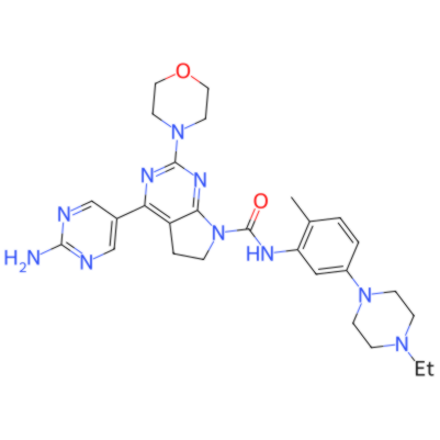 CCN1CCN(c2ccc(C)c(NC(=O)N3CCc4c(-c5cnc(N)nc5)nc(N5CCOCC5)nc43)c2)CC1